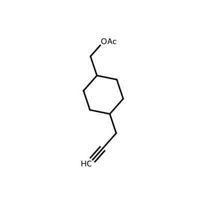 C#CCC1CCC(COC(C)=O)CC1